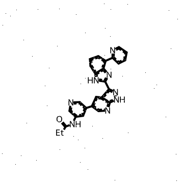 CCC(=O)Nc1cncc(-c2cnc3[nH]nc(-c4nc5c(-c6ccccn6)cccc5[nH]4)c3c2)c1